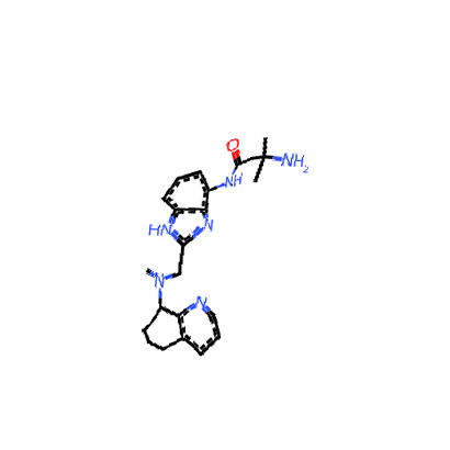 CN(Cc1nc2c(NC(=O)C(C)(C)N)cccc2[nH]1)C1CCCc2cccnc21